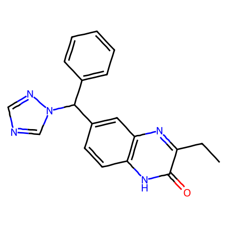 CCc1nc2cc(C(c3ccccc3)n3cncn3)ccc2[nH]c1=O